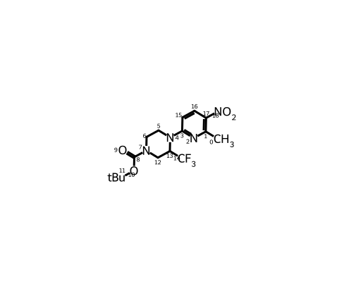 Cc1nc(N2CCN(C(=O)OC(C)(C)C)CC2C(F)(F)F)ccc1[N+](=O)[O-]